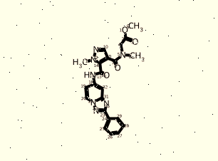 COC(=O)CN(C)C(=O)c1cnn(C)c1C(=O)Nc1ccn2nc(-c3ccccc3)nc2c1